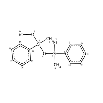 CCO[Si](C)(O[Si](C)(CC)c1ccccc1)c1ccccc1